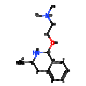 CCCCC1Cc2ccccc2C(OCCN(C)C)N1